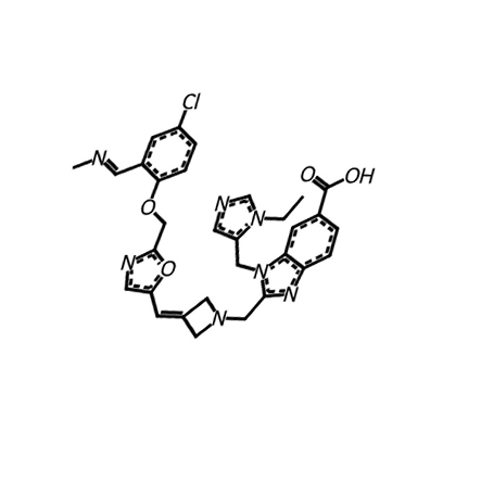 CCn1cncc1Cn1c(CN2CC(=Cc3cnc(COc4ccc(Cl)cc4/C=N/C)o3)C2)nc2ccc(C(=O)O)cc21